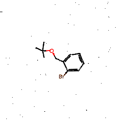 CC(C)(C)OCc1ccccc1Br